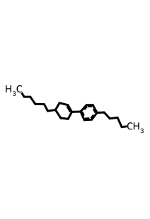 CCCCCCC1CC=C(c2ccc(CCCCC)cc2)CC1